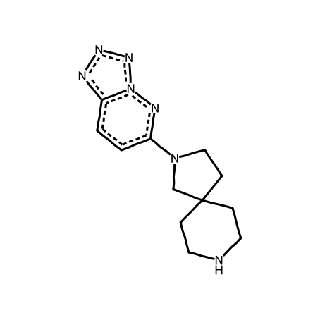 c1cc2nnnn2nc1N1CCC2(CCNCC2)C1